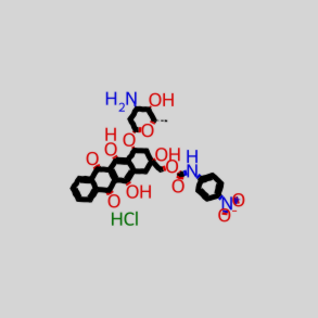 C[C@@H]1O[C@@H](O[C@H]2C[C@](O)(COC(=O)Nc3ccc([N+](=O)[O-])cc3)Cc3c(O)c4c(c(O)c32)C(=O)c2ccccc2C4=O)C[C@H](N)[C@@H]1O.Cl